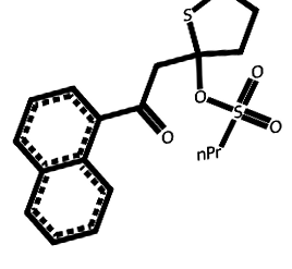 CCCS(=O)(=O)OC1(CC(=O)c2cccc3ccccc23)CCCS1